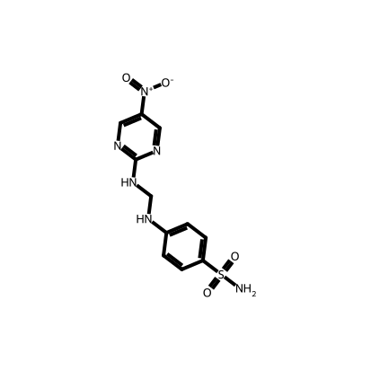 NS(=O)(=O)c1ccc(NCNc2ncc([N+](=O)[O-])cn2)cc1